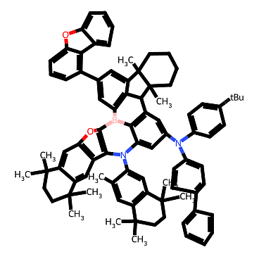 Cc1cc2c(cc1N1c3cc(N(c4ccc(-c5ccccc5)cc4)c4ccc(C(C)(C)C)cc4)cc4c3B(c3cc(-c5cccc6oc7ccccc7c56)cc5c3C4C3(C)CCCCC53C)c3oc4cc5c(cc4c31)C(C)(C)CCC5(C)C)C(C)(C)CCC2(C)C